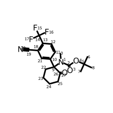 CN(C(=O)OC(C)(C)C)C1(c2ccc(C(F)(F)F)c(C#N)c2)CCCCC1=O